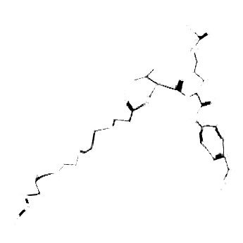 CC(C)[C@H](NC(=O)CCOCCOCCOCCN=[N+]=[N-])C(=O)N[C@@H](CCCNC(N)=O)C(=O)Nc1ccc(CO)cc1